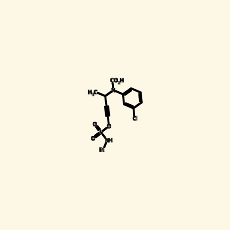 CCNS(=O)(=O)OC#CC(C)N(C(=O)O)c1cccc(Cl)c1